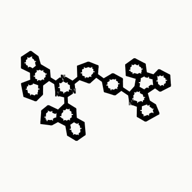 c1cc(-c2ccc(-c3nc4ccccc4c4c5ccccc5c5ccccc5c34)cc2)cc(-c2nc(-c3cc4ccccc4c4ccccc34)nc(-c3cc4ccccc4c4ccccc34)n2)c1